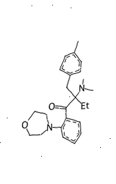 CCC(Cc1ccc(C)cc1)(C(=O)c1ccccc1N1CCOCC1)N(C)C